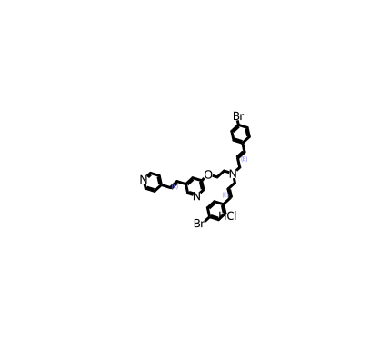 Brc1ccc(/C=C/CN(C/C=C/c2ccc(Br)cc2)CCOc2cncc(/C=C/c3ccncc3)c2)cc1.Cl